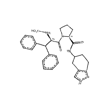 O=C(O)N[C@@H](C(=O)N1CCC[C@H]1C(=O)NC1CCc2n[nH]cc2C1)C(c1ccccc1)c1ccccc1